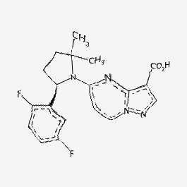 CC1(C)CC[C@H](c2cc(F)ccc2F)N1c1ccn2ncc(C(=O)O)c2n1